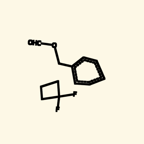 FC1(F)CCC1.O=COCc1ccccc1